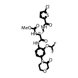 COC(=O)N[C@H](CNC(=O)c1ccc(Cl)s1)C(=O)Nc1ccc(N2CCOCC2=O)cc1OC(F)F